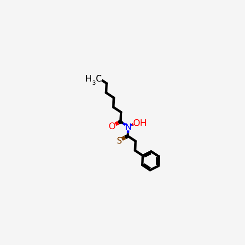 CCCCCCC(=O)N(O)C(=S)CCc1ccccc1